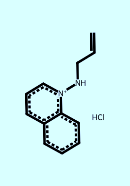 C=CCN[n+]1cccc2ccccc21.Cl